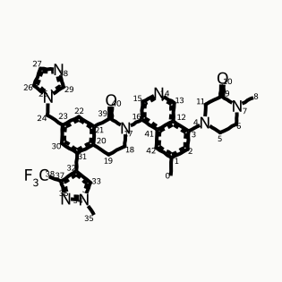 Cc1cc(N2CCN(C)C(=O)C2)c2cncc(N3CCc4c(cc(Cn5ccnc5)cc4-c4cn(C)nc4C(F)(F)F)C3=O)c2c1